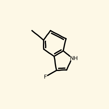 Cc1ccc2[nH]cc(F)c2c1